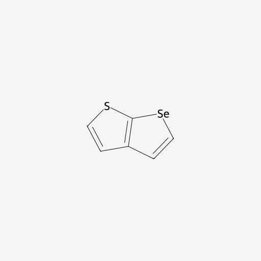 c1cc2cc[se]c2s1